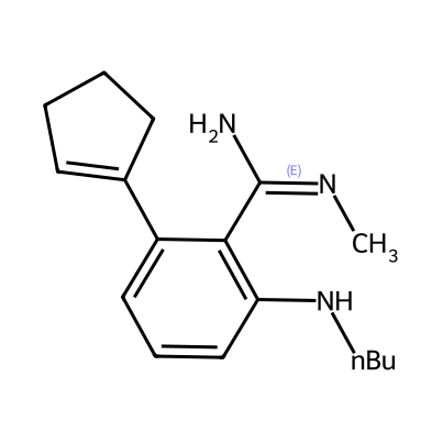 CCCCNc1cccc(C2=CCCC2)c1/C(N)=N\C